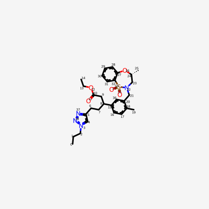 CCCn1cc(CCC(CC(=O)OCC)c2ccc(C)c(CN3C[C@@H](C)Oc4ccccc4S3(=O)=O)c2)nn1